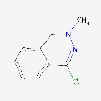 CN1Cc2ccccc2C(Cl)=N1